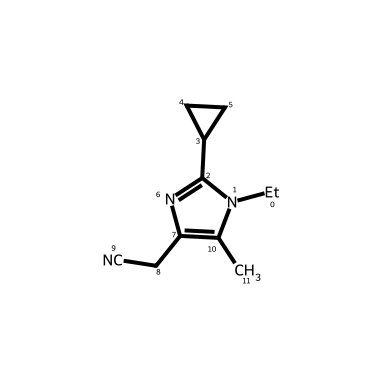 CCn1c(C2CC2)nc(CC#N)c1C